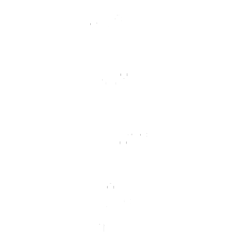 COC(=O)C1CCC(OC(=O)C2CCC(C(=O)OCCCOC(=O)CCCl)CC2)CC1